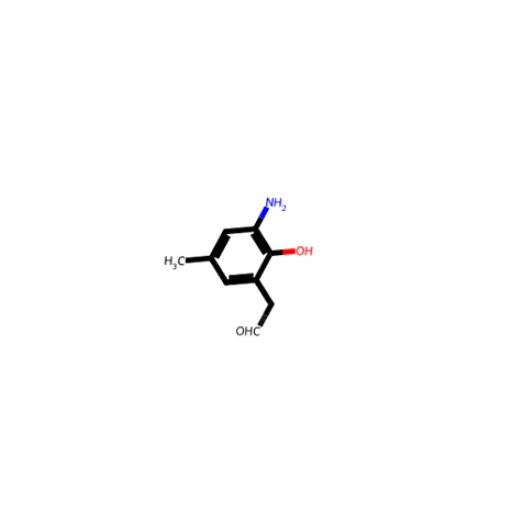 Cc1cc(N)c(O)c(CC=O)c1